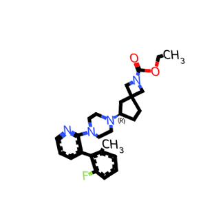 CCOC(=O)N1CC2(CC[C@@H](N3CCN(c4ncccc4-c4c(C)cccc4F)CC3)C2)C1